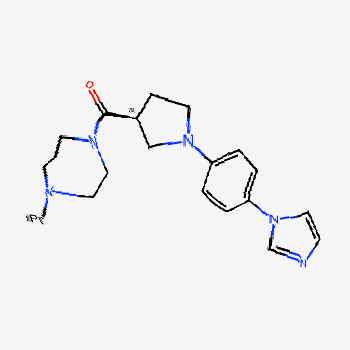 CC(C)N1CCN(C(=O)[C@H]2CCN(c3ccc(-n4ccnc4)cc3)C2)CC1